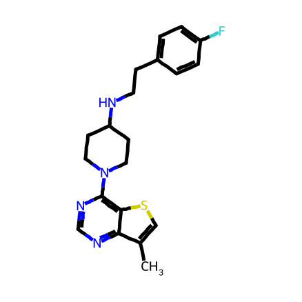 Cc1csc2c(N3CCC(NCCc4ccc(F)cc4)CC3)ncnc12